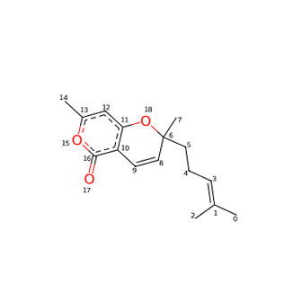 CC(C)=CCCC1(C)C=Cc2c(cc(C)oc2=O)O1